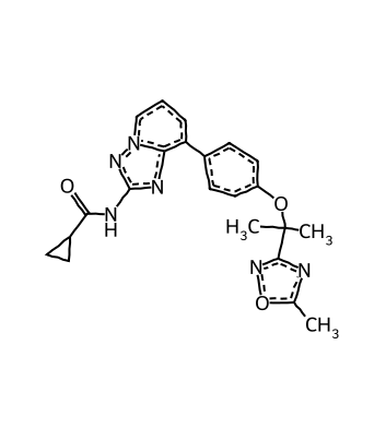 Cc1nc(C(C)(C)Oc2ccc(-c3cccn4nc(NC(=O)C5CC5)nc34)cc2)no1